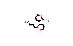 CCC[CH2][Al]1[CH2]CCC[O]1.[CH3][Al]1[CH2]CCC[O]1